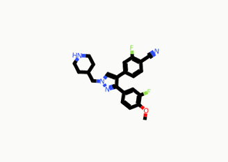 COc1ccc(-c2nn(CC3CCNCC3)cc2-c2ccc(C#N)c(F)c2)cc1F